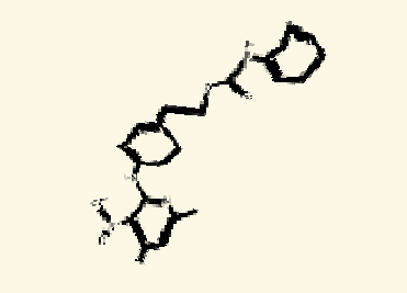 Cc1cc(C)c([N+](=O)[O-])c(Nc2ccc(CCOC(=O)Nc3ccccc3)cc2)n1